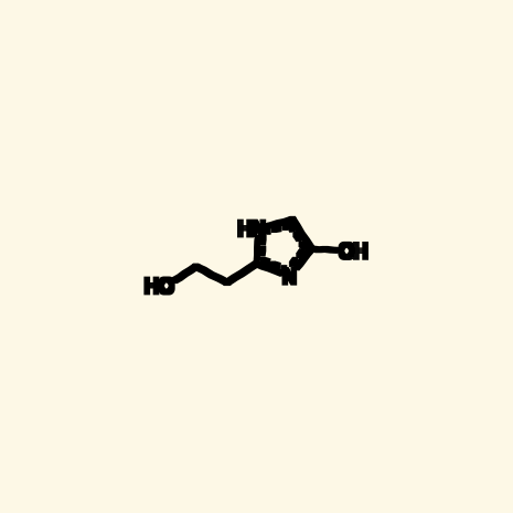 OCCc1nc(O)c[nH]1